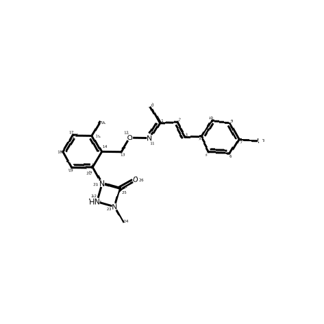 CC(/C=C/c1ccc(I)cc1)=NOCc1c(C)cccc1-n1[nH]n(C)c1=O